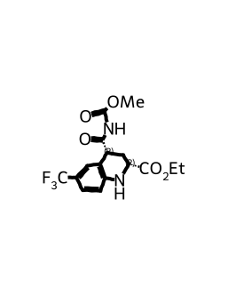 CCOC(=O)[C@H]1C[C@@H](C(=O)NC(=O)OC)c2cc(C(F)(F)F)ccc2N1